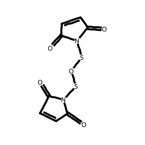 O=C1C=CC(=O)N1SOSN1C(=O)C=CC1=O